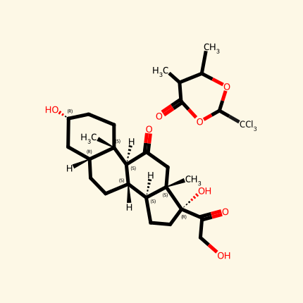 CC1OC(C(Cl)(Cl)Cl)OC(=O)C1C.C[C@]12CC[C@@H](O)C[C@H]1CC[C@@H]1[C@@H]2C(=O)C[C@@]2(C)[C@H]1CC[C@]2(O)C(=O)CO